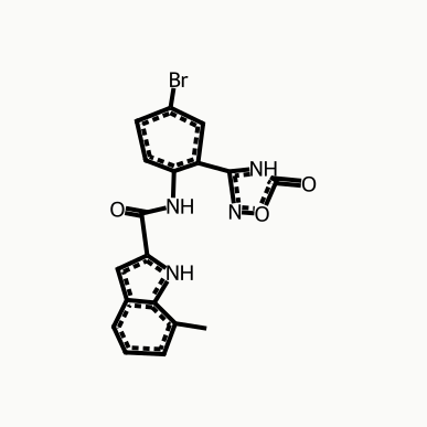 Cc1cccc2cc(C(=O)Nc3ccc(Br)cc3-c3noc(=O)[nH]3)[nH]c12